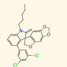 C=C1N(CCCCC)c2cccc(-c3cc(Cl)cc(Cl)c3)c2C12COc1cc3c(cc12)OCO3